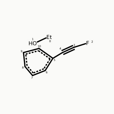 CCO.FC#Cc1ccccc1